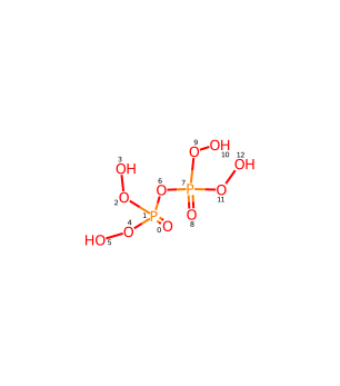 O=P(OO)(OO)OP(=O)(OO)OO